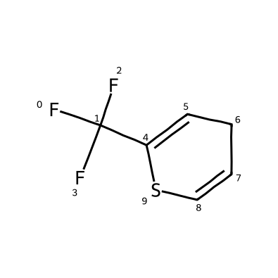 FC(F)(F)C1=CCC=CS1